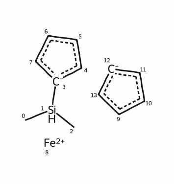 C[SiH](C)[c-]1cccc1.[Fe+2].c1cc[cH-]c1